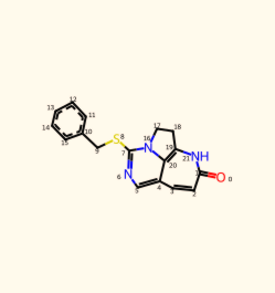 O=C1C=CC2=CN=C(SCc3ccccc3)N3CCC(=C23)N1